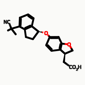 CC(C)(C#N)c1cccc2c1CC[C@H]2Oc1ccc2c(c1)OC[C@H]2CC(=O)O